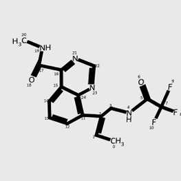 C/C=C(\CNC(=O)C(F)(F)F)c1cccc2c(C(=O)NC)ncnc12